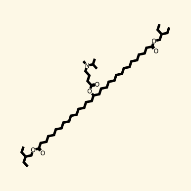 CCC(CC)COC(=O)CCCCCCCCCCCCCCC(CCCCCCCCCCCCCCC(=O)OCC(CC)CC)OC(=O)CCCN(C)C(C)C